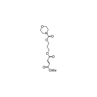 COC(=O)/C=C/C(=O)OCCCOC(=O)N1CCOCC1